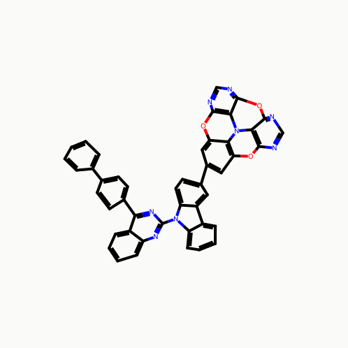 c1ccc(-c2ccc(-c3nc(-n4c5ccccc5c5cc(-c6cc7c8c(c6)Oc6ncnc9c6N8c6c(ncnc6O9)O7)ccc54)nc4ccccc34)cc2)cc1